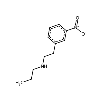 CCCNCCc1cccc([N+](=O)[O-])c1